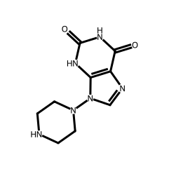 O=c1[nH]c(=O)c2ncn(N3CCNCC3)c2[nH]1